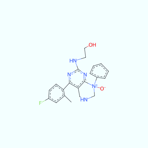 Cc1cc(F)ccc1-c1nc(NCCO)nc2c1CNC[N+]2([O-])c1ccccc1